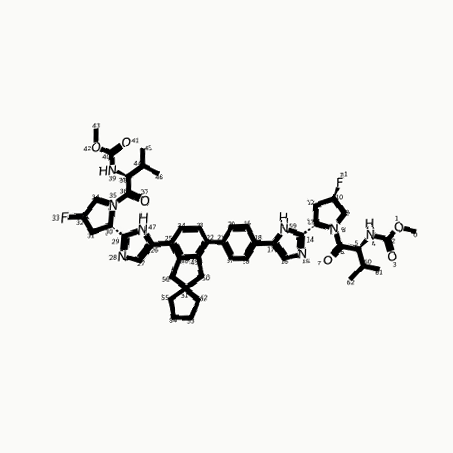 COC(=O)N[C@H](C(=O)N1C[C@H](F)C[C@H]1c1ncc(-c2ccc(-c3ccc(-c4cnc([C@@H]5CC(F)CN5C(=O)[C@@H](NC(=O)OC)C(C)C)[nH]4)c4c3CC3(CCCC3)C4)cc2)[nH]1)C(C)C